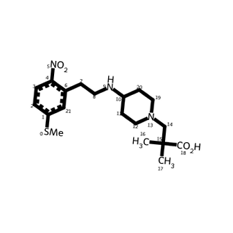 CSc1ccc([N+](=O)[O-])c(CCNC2CCN(CC(C)(C)C(=O)O)CC2)c1